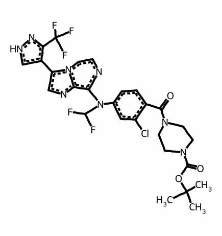 CC(C)(C)OC(=O)N1CCN(C(=O)c2ccc(N(c3nccn4c(-c5c[nH]nc5C(F)(F)F)cnc34)C(F)F)cc2Cl)CC1